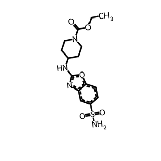 CCOC(=O)N1CCC(Nc2nc3cc(S(N)(=O)=O)ccc3o2)CC1